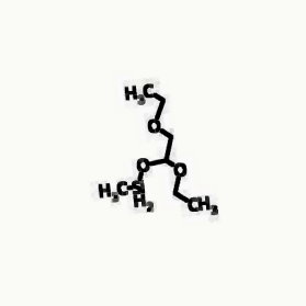 CCOCC(OCC)O[SiH2]C